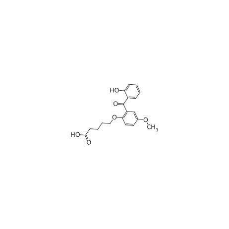 COc1ccc(OCCCCC(=O)O)c(C(=O)c2ccccc2O)c1